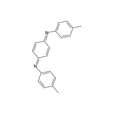 Cc1ccc(N=C2C=CC(=Nc3ccc(C)cc3)C=C2)cc1